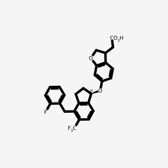 O=C(O)CC1COc2cc(O[C@@H]3CCc4c3ccc(C(F)(F)F)c4Cc3ccccc3F)ccc21